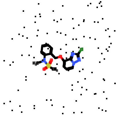 CN(c1ccccc1COc1cccn2nc(Cl)nc12)S(C)(=O)=O